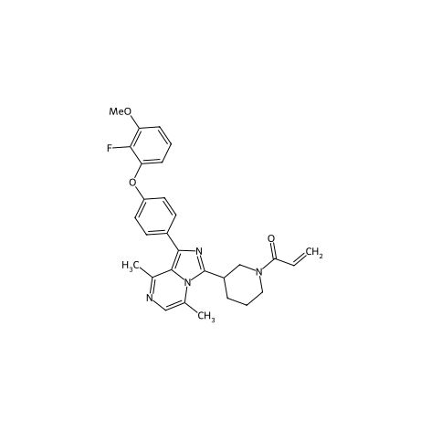 C=CC(=O)N1CCCC(c2nc(-c3ccc(Oc4cccc(OC)c4F)cc3)c3c(C)ncc(C)n23)C1